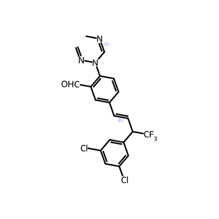 C=NN(/C=N\C)c1ccc(/C=C/C(c2cc(Cl)cc(Cl)c2)C(F)(F)F)cc1C=O